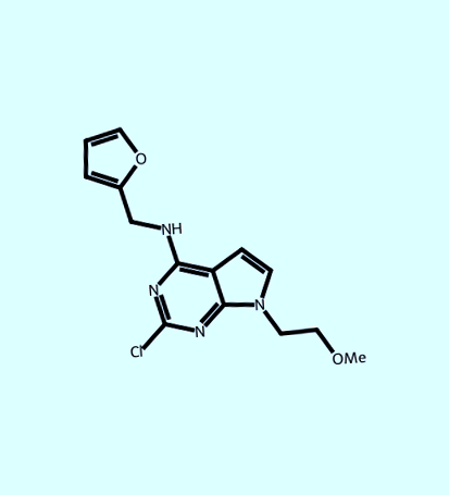 COCCn1ccc2c(NCc3ccco3)nc(Cl)nc21